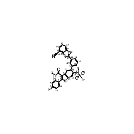 CNC(=O)c1c(-c2ccc(F)cc2)oc2cc(N(C)S(C)(=O)=O)c(-c3cccc(-c4nc5cccc(C#N)c5s4)c3)cc12